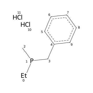 CCP(C)Cc1ccccc1.Cl.Cl